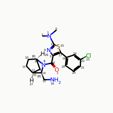 CN(C)c1nc(C(=O)N2[C@@H]3CC[C@@H](C3)[C@@H]2CN)c(-c2cccc(Cl)c2)s1